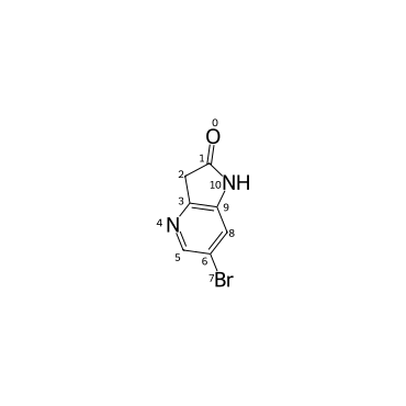 O=C1Cc2ncc(Br)cc2N1